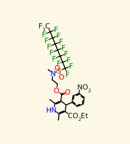 CCOC(=O)C1=C(C)NC(C)=C(C(=O)OCCN(C)S(=O)(=O)C(F)(F)C(F)(F)C(F)(F)C(F)(F)C(F)(F)C(F)(F)C(F)(F)C(F)(F)F)C1c1cccc([N+](=O)[O-])c1